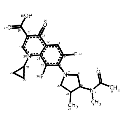 CC(=O)N(C)C1CN(c2c(F)cc3c(=O)c(C(=O)O)cn(C4CC4)c3c2F)CC1C